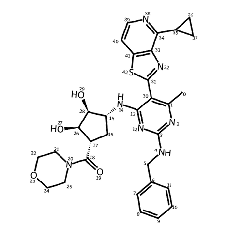 Cc1nc(NCc2ccccc2)nc(N[C@@H]2C[C@H](C(=O)N3CCOCC3)[C@@H](O)[C@H]2O)c1-c1nc2c(C3CC3)nccc2s1